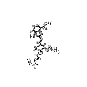 C=CCOc1ccc(/C=C/c2nc3c(C(=O)O)cccc3[nH]2)cc1OCC